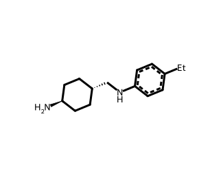 CCc1ccc(NC[C@H]2CC[C@H](N)CC2)cc1